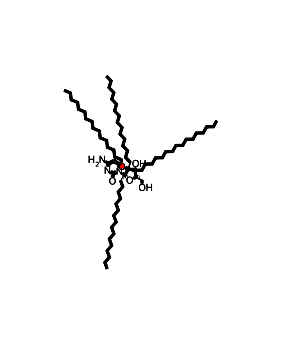 CCCCCCCCCCCCCCCCO[C@]1(CCCCCCCCCCCCCCCC)[C@@](O)(CCCCCCCCCCCCCCCC)[C@@H](CO)O[C@@]1(CCCCCCCCCCCCCCCC)n1ccc(N)nc1=O